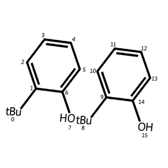 CC(C)(C)c1ccccc1O.CC(C)(C)c1ccccc1O